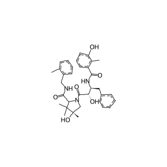 Cc1ccccc1CNC(=O)C1N(C(=O)[C@@H](O)[C@H](Cc2ccccc2)NC(=O)c2cccc(O)c2C)C[C@](C)(O)C1(C)C